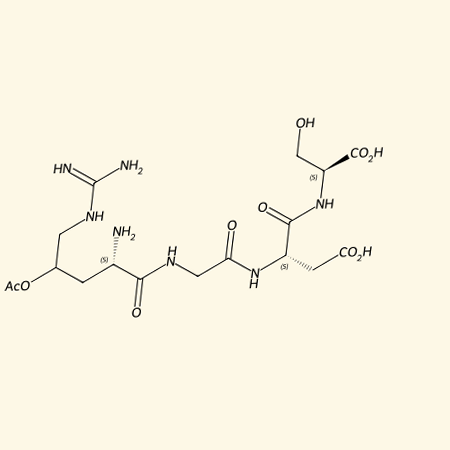 CC(=O)OC(CNC(=N)N)C[C@H](N)C(=O)NCC(=O)N[C@@H](CC(=O)O)C(=O)N[C@@H](CO)C(=O)O